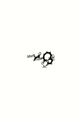 CN[C@@H](C)C(=O)N[C@H]1CCCC[C@H]2CC[C@@H](C(C)=O)N2C1=O